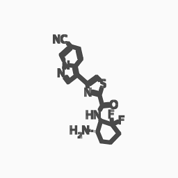 N#Cc1ccc2c(-c3csc(C(=O)N[C@@H]4[C@@H](N)CCCC4(F)F)n3)cnn2c1